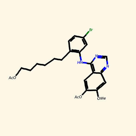 COc1cc2ncnc(Nc3cc(Br)ccc3C[CH]CCCCOC(C)=O)c2cc1OC(C)=O